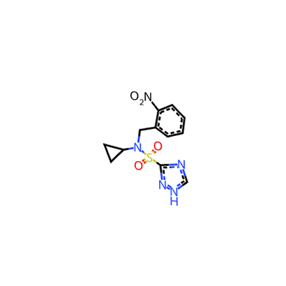 O=[N+]([O-])c1ccccc1CN(C1CC1)S(=O)(=O)c1nc[nH]n1